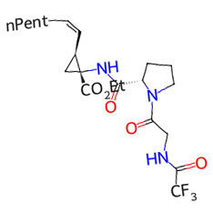 CCCCC/C=C\[C@@H]1C[C@]1(NC(=O)[C@@H]1CCCN1C(=O)CNC(=O)C(F)(F)F)C(=O)OCC